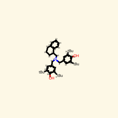 CC(C)(C)c1cc(CN(Cc2cc(C(C)(C)C)c(O)c(C(C)(C)C)c2)CC2CCCc3ccccc32)cc(C(C)(C)C)c1O